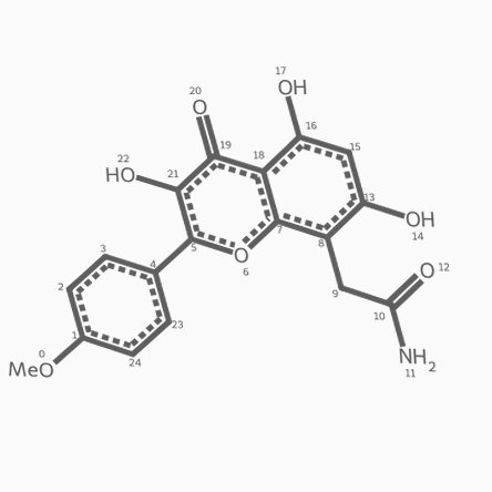 COc1ccc(-c2oc3c(CC(N)=O)c(O)cc(O)c3c(=O)c2O)cc1